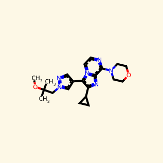 COC(C)(C)Cn1cc(-c2c(C3CC3)nc3c(N4CCOCC4)nccn23)cn1